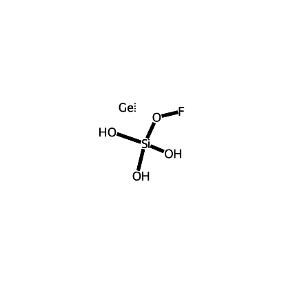 O[Si](O)(O)OF.[Ge]